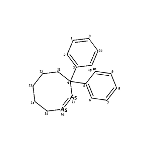 c1ccc(C2(c3ccccc3)CCCCC/[As]=[As]\2)cc1